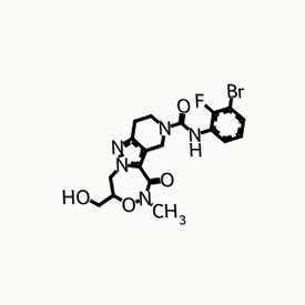 CN1OC(CO)Cn2nc3c(c2C1=O)CN(C(=O)Nc1cccc(Br)c1F)CC3